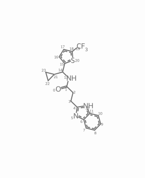 O=C(CCc1nc2ccccc2[nH]1)NC(c1ccc(C(F)(F)F)s1)C1CC1